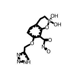 O=NC(=O)c1c(OCc2c[nH]nn2)ccc2c1O[B-](O)(O)CC2